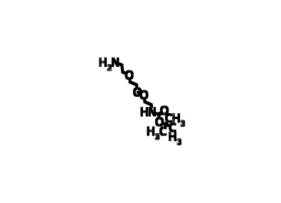 CC(C)(C)OC(=O)NCCOOCCOCCN